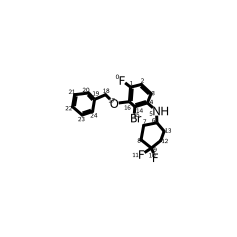 Fc1ccc(NC2CCC(F)(F)CC2)c(Br)c1OCc1ccccc1